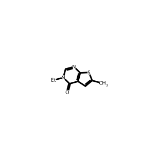 CCn1cnc2sc(C)cc2c1=O